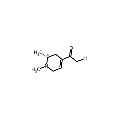 C[C@@H]1CC(C(=O)CCl)=CCN1C